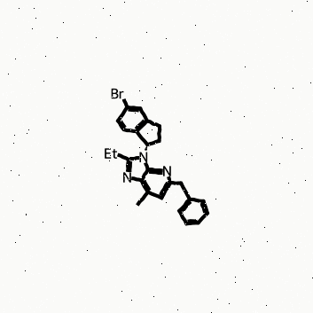 CCc1nc2c(C)cc(Cc3ccccc3)nc2n1[C@H]1CCc2cc(Br)ccc21